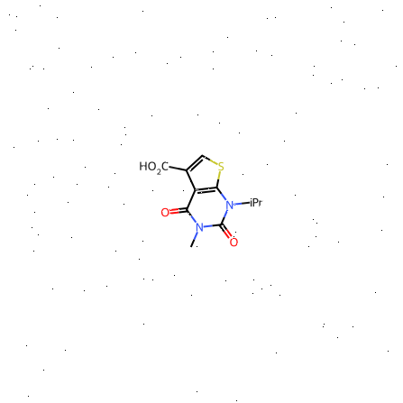 CC(C)n1c(=O)n(C)c(=O)c2c(C(=O)O)csc21